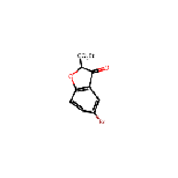 CCOC(=O)C1Oc2ccc(Br)cc2C1=O